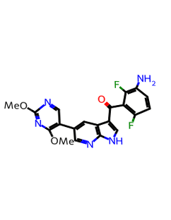 COc1ncc(-c2cnc3[nH]cc(C(=O)c4c(F)ccc(N)c4F)c3c2)c(OC)n1